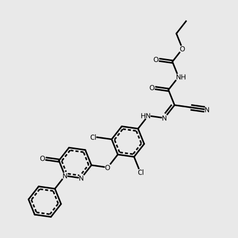 CCOC(=O)NC(=O)C(C#N)=NNc1cc(Cl)c(Oc2ccc(=O)n(-c3ccccc3)n2)c(Cl)c1